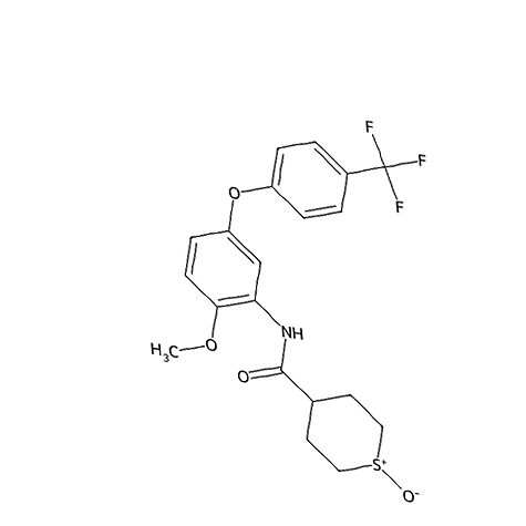 COc1ccc(Oc2ccc(C(F)(F)F)cc2)cc1NC(=O)C1CC[S+]([O-])CC1